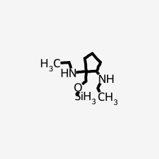 CCNC1CCCC1(CO[SiH3])NCC